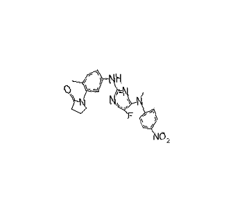 Cc1ccc(Nc2ncc(F)c(N(C)c3ccc([N+](=O)[O-])cc3)n2)cc1N1CCCC1=O